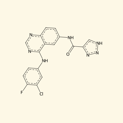 O=C(Nc1ccc2ncnc(Nc3ccc(F)c(Cl)c3)c2c1)c1c[nH]nn1